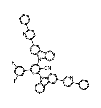 N#Cc1c(-n2c3ccccc3c3cc(-c4ccc(-c5ccccc5)nc4)ccc32)cc(-c2cc(F)cc(F)c2)cc1-n1c2ccccc2c2cc(-c3ccc(-c4ccccc4)nc3)ccc21